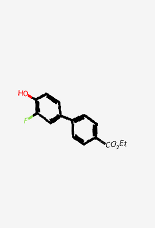 CCOC(=O)c1ccc(-c2ccc(O)c(F)c2)cc1